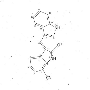 N#Cc1cccc2c1NC(=O)/C2=C\c1c[nH]c2ccccc12